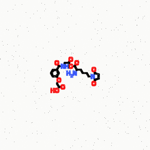 NC(CCCCN1C(=O)C=CC1=O)C(=O)OC(=O)CNC(=O)c1cccc(OCC(=O)O)c1